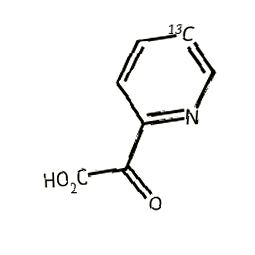 O=C(O)C(=O)c1cc[13cH]cn1